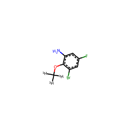 [2H]C([2H])([2H])Oc1c(N)cc(F)cc1Br